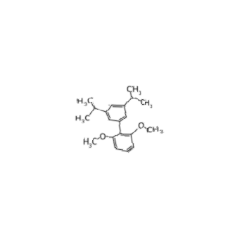 COc1cccc(OC)c1-c1cc(C(C)C)[c]c(C(C)C)c1